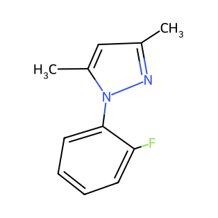 Cc1cc(C)n(-c2ccccc2F)n1